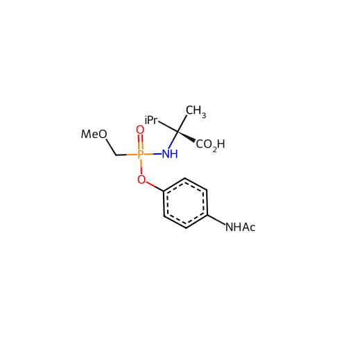 COCP(=O)(N[C@](C)(C(=O)O)C(C)C)Oc1ccc(NC(C)=O)cc1